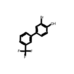 Oc1ccc(-c2cccc(C(F)(F)F)c2)cc1Br